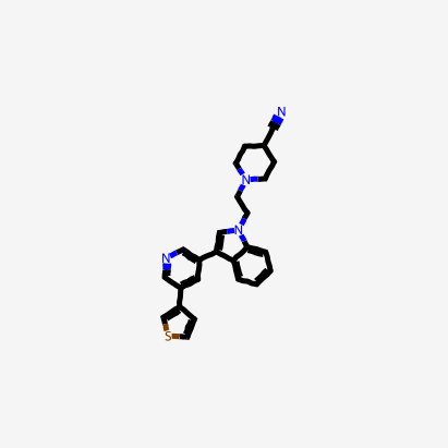 N#CC1CCN(CCn2cc(-c3cncc(-c4ccsc4)c3)c3ccccc32)CC1